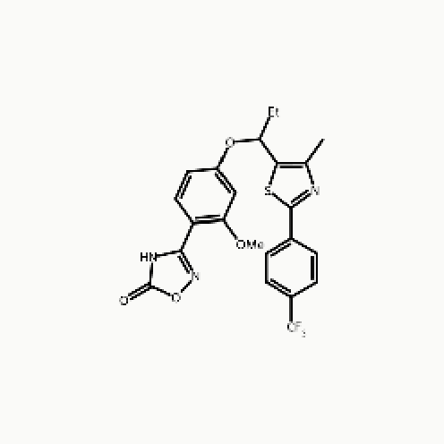 CCC(Oc1ccc(-c2noc(=O)[nH]2)c(OC)c1)c1sc(-c2ccc(C(F)(F)F)cc2)nc1C